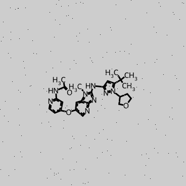 CC(=O)Nc1cc(Oc2cnc3nc(Nc4cc(C(C)(C)C)n(C5CCOC5)n4)n(C)c3c2)ccn1